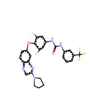 O=C(Nc1cccc(C(F)(F)F)c1)Nc1cc(F)c(Oc2ccc3ncc(N4CCCC4)nc3c2)c(F)c1